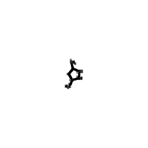 CC1CN(C)NN1